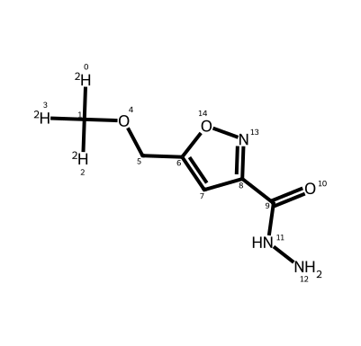 [2H]C([2H])([2H])OCc1cc(C(=O)NN)no1